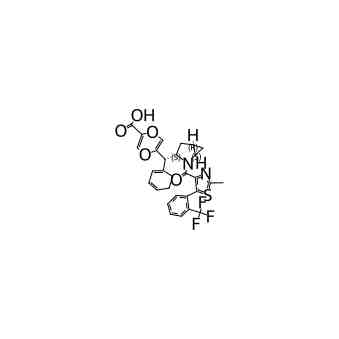 Cc1nc(C(=O)N2[C@H](C(C3=CC=CCC3)C3=COC(C(=O)O)=CO3)C[C@H]3C[C@@H]32)c(-c2ccccc2C(F)(F)F)s1